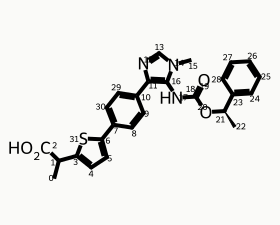 CC(C(=O)O)c1ccc(-c2ccc(-c3ncn(C)c3NC(=O)O[C@H](C)c3ccccc3)cc2)s1